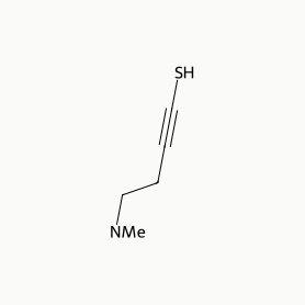 CNCCC#CS